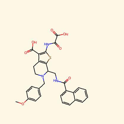 COc1ccc(CN2CCc3c(sc(NC(=O)C(=O)O)c3C(=O)O)C2CNC(=O)c2cccc3ccccc23)cc1